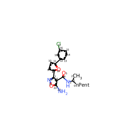 CCCCCC(C)NC(=O)c1c(-c2ccc(-c3cccc(Cl)c3)o2)noc1N